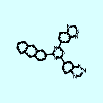 c1ccc2cc3cc(-c4nc(-c5ccc6ncnnc6c5)nc(-c5ccc6ncnnc6c5)n4)ccc3cc2c1